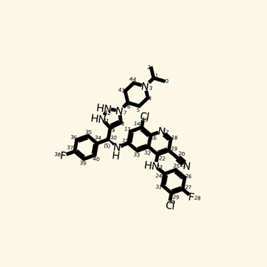 CC(C)N1CCC(N2C=C([C@@H](Nc3cc(Cl)c4ncc(C#N)c(Nc5ccc(F)c(Cl)c5)c4c3)c3ccc(F)cc3)NN2)CC1